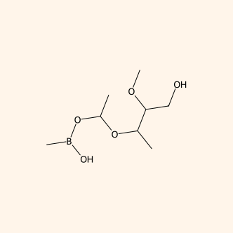 COC(CO)C(C)OC(C)OB(C)O